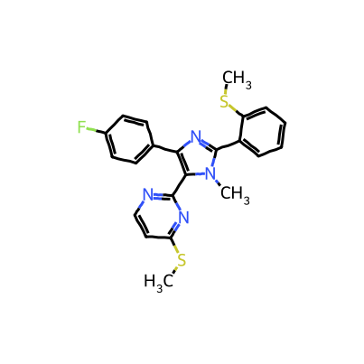 CSc1ccnc(-c2c(-c3ccc(F)cc3)nc(-c3ccccc3SC)n2C)n1